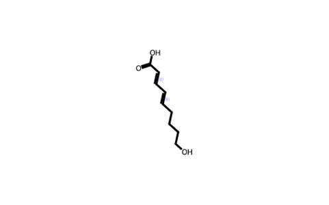 O=C(O)/C=C/C=C/CCCCO